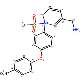 CCS(=O)(=O)[N+]1(c2ccc(Oc3ccc([N+](=O)[O-])cc3)cc2)C=C(CN)C=CC1